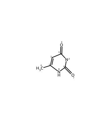 CC1=CC(=O)[N]C(=O)N1